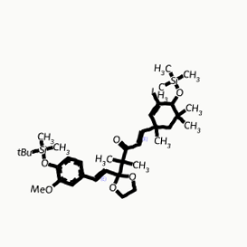 COc1cc(/C=C/C2(C(C)(C)C(=O)/C=C/C3(C)C=C(I)C(O[Si](C)(C)C)C(C)(C)C3)OCCO2)ccc1O[Si](C)(C)C(C)(C)C